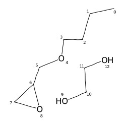 CCCCOCC1CO1.OCCO